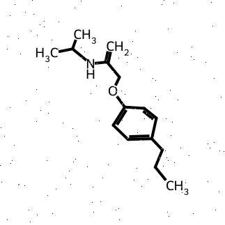 C=C(COc1ccc(CCC)cc1)NC(C)C